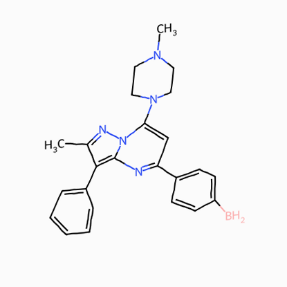 Bc1ccc(-c2cc(N3CCN(C)CC3)n3nc(C)c(-c4ccccc4)c3n2)cc1